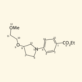 CCOC(=O)c1ccc(N2CCC(OCCOC)C2)cc1